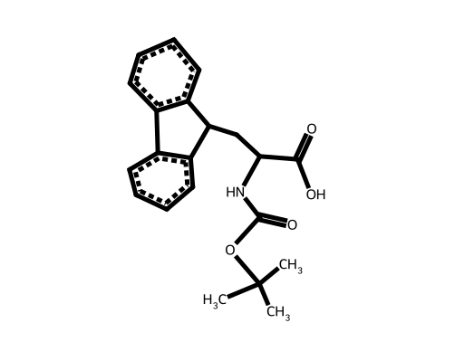 CC(C)(C)OC(=O)NC(CC1c2ccccc2-c2ccccc21)C(=O)O